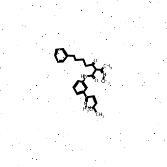 C/N=C(/C)C(C(=O)CCCCc1ccccc1)C(=O)Nc1cccc(C(/C=C\C(C)C)=N/C)c1